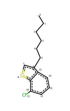 [CH2]CCCCCc1csc2c(Cl)cccc12